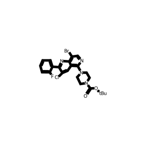 CC(C)(C)OC(=O)N1CCN(c2ncc(Br)c3nc(-c4ccccc4F)c(Cl)cc23)CC1